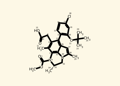 COC(=O)N1c2c(C)c(CC(=O)O)c(-c3ccc(Cl)cc3OC(C)(C)C)c3cc(C)n(c23)C[C@@H]1C